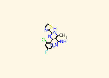 CC1=C(C(=N)N)C(c2ccc(F)cc2Cl)N=C(c2nccs2)N1